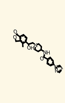 Cc1c(C(O)CN2CCC(NC(=O)c3ccc(-n4cncn4)cc3)CC2)ccc2c1COC2=O